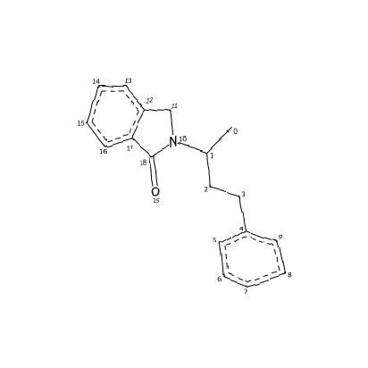 CC(CCc1ccccc1)N1Cc2ccccc2C1=O